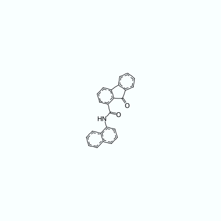 O=C(Nc1cccc2ccccc12)c1cccc2c1C(=O)c1ccccc1-2